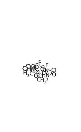 CC(C)OC(=O)[C@H](C)NP(=S)(OC[C@]1(C(F)F)C[C@@H](F)[C@H](N2C=C(Cl)C(=O)CNC2=O)O1)Oc1ccc2ccccc2c1